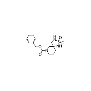 O=C(OCc1ccccc1)N1CCCC2(CNS(=O)(=O)N2)C1